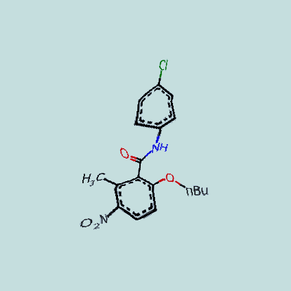 CCCCOc1ccc([N+](=O)[O-])c(C)c1C(=O)Nc1ccc(Cl)cc1